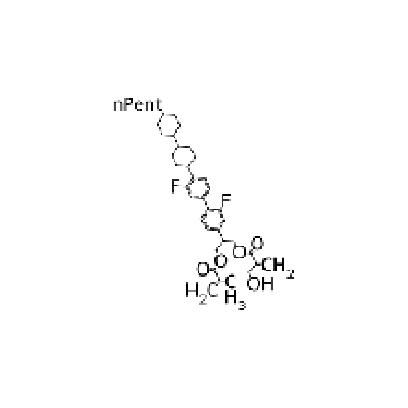 C=C(C)C(=O)OCC(COC(=O)C(=C)CO)c1ccc(-c2ccc(C3CCC(C4CCC(CCCCC)CC4)CC3)c(F)c2)c(F)c1